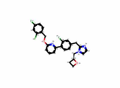 Fc1ccc(COc2cccc(-c3ccc(Cc4nccn4C[C@@H]4CCO4)cc3F)n2)c(F)c1